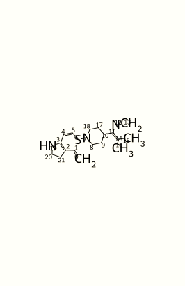 C=CC1=C(/C=C\SN2CCC(C(N=C)=C(C)C)CC2)NCC1